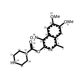 COc1cc2c(C)nc(OC(=O)N3CCNCC3)c([N+](=O)[O-])c2cc1OC